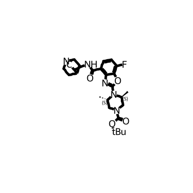 C[C@H]1CN(C(=O)OC(C)(C)C)C[C@H](C)N1c1nc2c(C(=O)NC3CN4CCC3CC4)ccc(F)c2o1